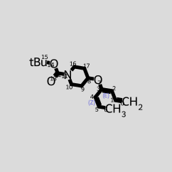 C=C/C=C(\C=C/C)OC1CCN(C(=O)OC(C)(C)C)CC1